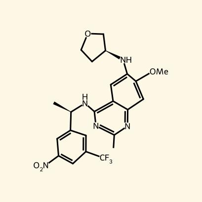 COc1cc2nc(C)nc(N[C@H](C)c3cc([N+](=O)[O-])cc(C(F)(F)F)c3)c2cc1N[C@H]1CCOC1